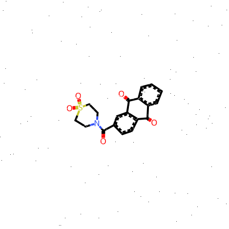 O=C1c2ccccc2C(=O)c2cc(C(=O)N3CCS(=O)(=O)CC3)ccc21